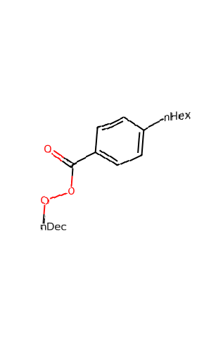 [CH2]CCCCCCCCCOOC(=O)c1ccc(CCCCCC)cc1